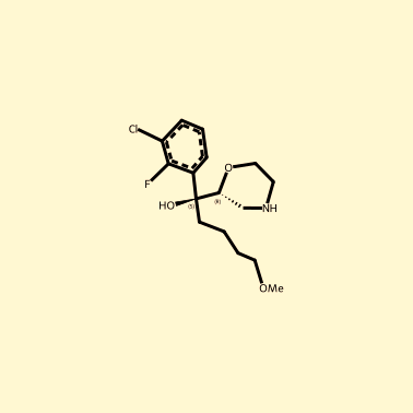 COCCCC[C@](O)(c1cccc(Cl)c1F)[C@H]1CNCCO1